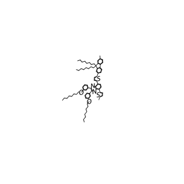 CCCCCCCCOc1cccc(-c2nc3c(-c4ccc(C)s4)ccc(-c4ccc(-c5ccc6c(c5)C(CCCCCCCC)(CCCCCCCC)c5cc(C)ccc5-6)s4)c3nc2-c2cccc(OCCCCCCCC)c2)c1